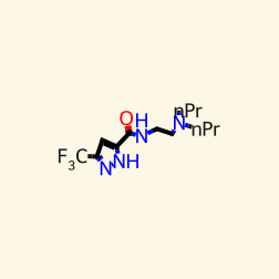 CCCN(CCC)CCNC(=O)c1cc(C(F)(F)F)n[nH]1